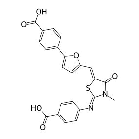 CN1C(=O)C(=Cc2ccc(-c3ccc(C(=O)O)cc3)o2)SC1=Nc1ccc(C(=O)O)cc1